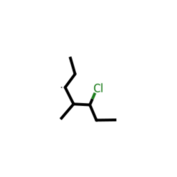 CC[CH]C(C)C(Cl)CC